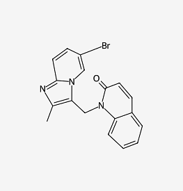 Cc1nc2ccc(Br)cn2c1Cn1c(=O)ccc2ccccc21